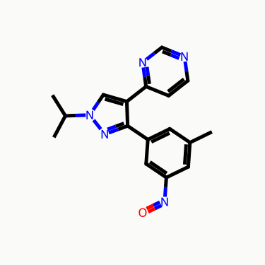 Cc1cc(N=O)cc(-c2nn(C(C)C)cc2-c2ccncn2)c1